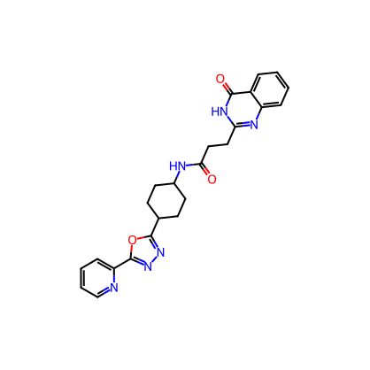 O=C(CCc1nc2ccccc2c(=O)[nH]1)NC1CCC(c2nnc(-c3ccccn3)o2)CC1